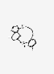 CC1CC2=Nc3c(ncnc31)NCCCOc1ccc(F)cc1[C@@H](C)N2